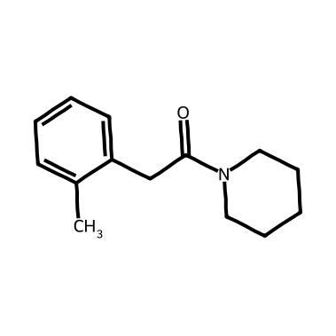 Cc1ccccc1CC(=O)N1CCCCC1